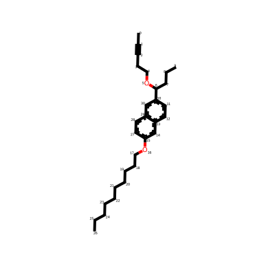 CC#CCCOC(CCC)c1ccc2cc(OCCCCCCCCCC)ccc2c1